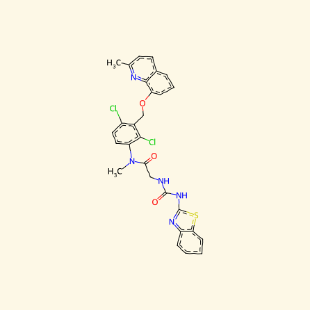 Cc1ccc2cccc(OCc3c(Cl)ccc(N(C)C(=O)CNC(=O)Nc4nc5ccccc5s4)c3Cl)c2n1